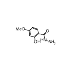 COc1ccc(C(=O)NN)c(O)c1